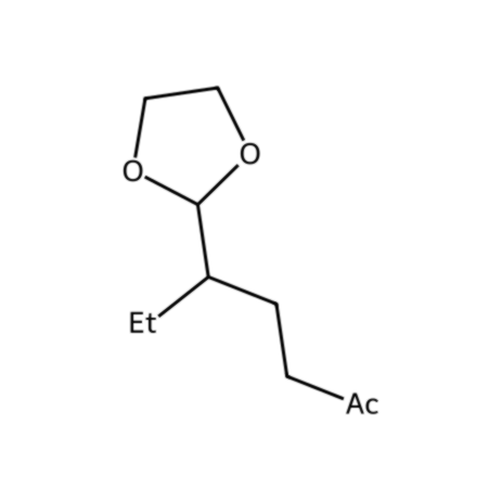 CCC(CCC(C)=O)C1OCCO1